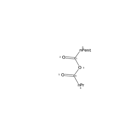 CCCCCC(=O)OC(=O)CCC